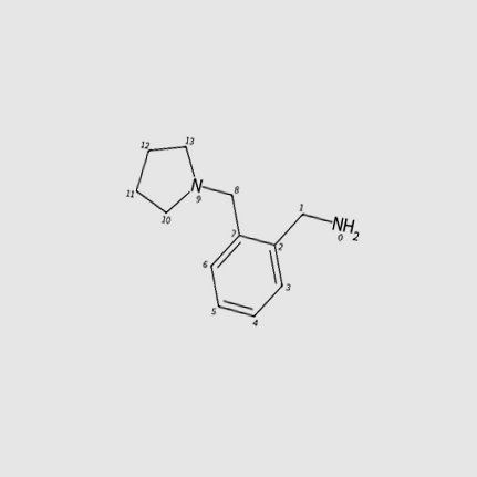 NCc1ccccc1CN1CCCC1